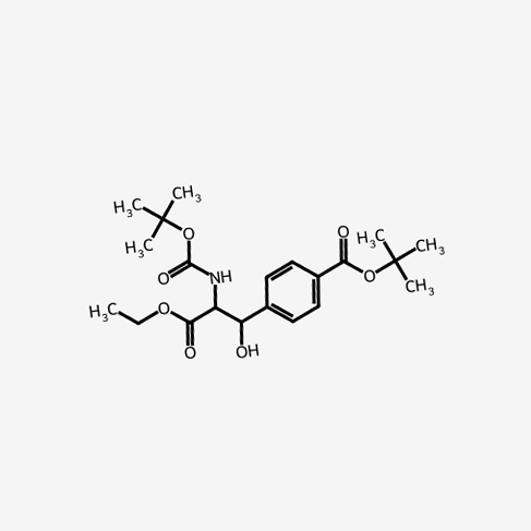 CCOC(=O)C(NC(=O)OC(C)(C)C)C(O)c1ccc(C(=O)OC(C)(C)C)cc1